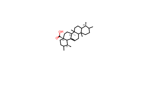 CC1CCC2(C)C(CCC3(C)C2CC=C2C4[C@@H](C)C(C)CC[C@]4(C(=O)O)CC[C@]23C)[C@H]1C